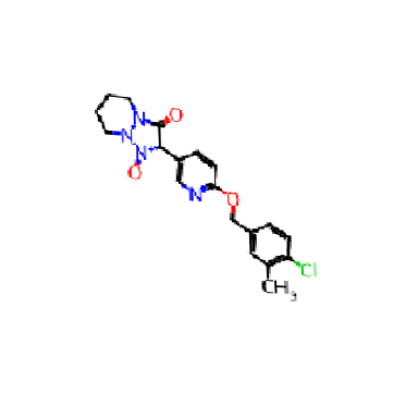 Cc1cc(COc2ccc(C3C(=O)N4CCCCN4[N+]3=O)cn2)ccc1Cl